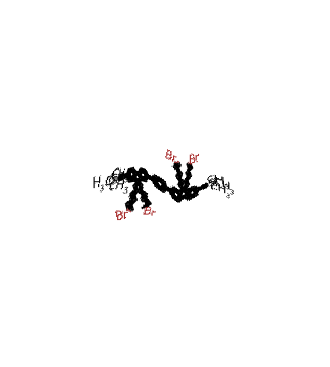 C[Si](C)(C)C#Cc1ccc2c(c1)C(CCCCCCBr)(CCCCCCBr)c1cc(-c3ccc(-c4ccc5c(c4)C(CCCCCCBr)(CCCCCCBr)c4cc(C#C[Si](C)(C)C)ccc4-5)cc3)ccc1-2